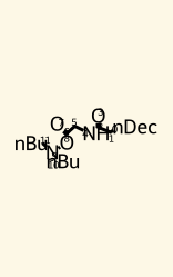 CCCCCCCCCCCC(=O)NCC(=O)ON(CCCC)CCCC